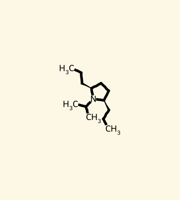 CCC[C@@H]1CC[C@H](CCC)N1C(C)C